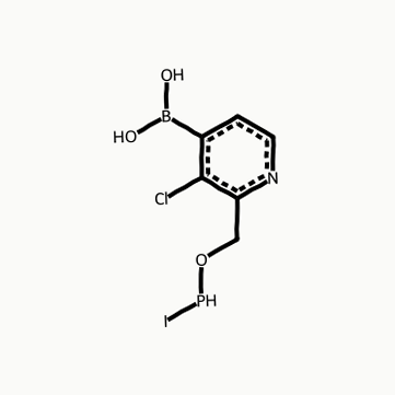 OB(O)c1ccnc(COPI)c1Cl